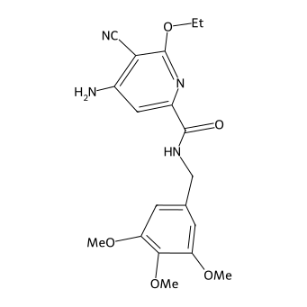 CCOc1nc(C(=O)NCc2cc(OC)c(OC)c(OC)c2)cc(N)c1C#N